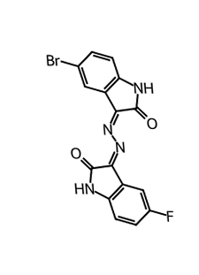 O=C1Nc2ccc(F)cc2/C1=N/N=C1\C(=O)Nc2ccc(Br)cc21